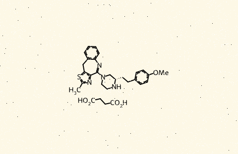 COc1ccc(CC[C@H]2CN(C3=Nc4ccccc4Cc4sc(C)nc43)CCN2)cc1.O=C(O)CCC(=O)O